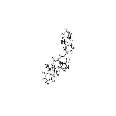 CN(C)c1cc(-c2ccnc(Nc3ccnn3C)n2)cc2nnc(C(Cc3cccc(F)c3)NC=O)n12